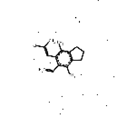 C=Cc1c(C)c2c(c(C)c1/C=C(\C)Cl)CCC2